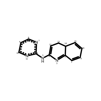 C1=CC2=NC(Nc3ncccn3)=CCC2C=C1